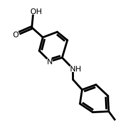 Cc1ccc(CNc2ccc(C(=O)O)cn2)cc1